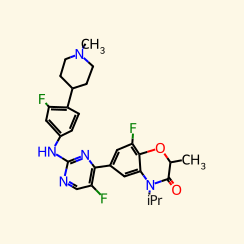 CC1Oc2c(F)cc(-c3nc(Nc4ccc(C5CCN(C)CC5)c(F)c4)ncc3F)cc2N(C(C)C)C1=O